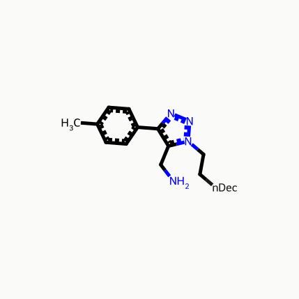 CCCCCCCCCCCCn1nnc(-c2ccc(C)cc2)c1CN